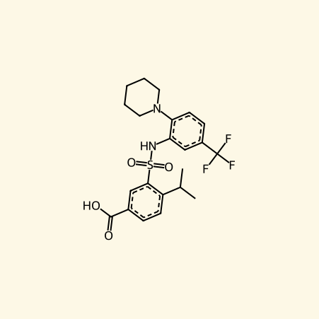 CC(C)c1ccc(C(=O)O)cc1S(=O)(=O)Nc1cc(C(F)(F)F)ccc1N1CCCCC1